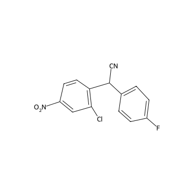 N#CC(c1ccc(F)cc1)c1ccc([N+](=O)[O-])cc1Cl